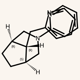 c1ccc(C[C@@H]2[C@@H]3CC[C@H]2CN(c2ccccn2)C3)nc1